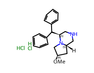 CO[C@@H]1C[C@H]2CNC[C@H](C(c3ccccc3)c3ccccc3)N2C1.Cl.Cl